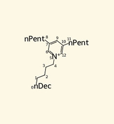 CCCCCCCCCCCCCC[n+]1cc(CCCCC)cc(CCCCC)c1